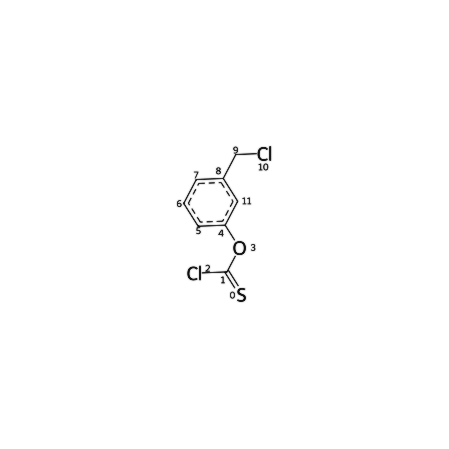 S=C(Cl)Oc1cccc(CCl)c1